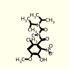 COc1cc(Cl)c(C(=O)N(C)C(=O)N(C(C)C)C(C)C)c([N+](=O)[O-])c1O